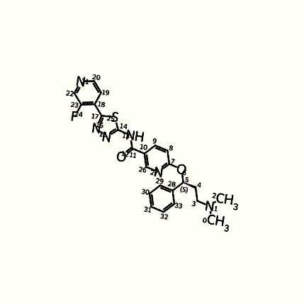 CN(C)CC[C@H](Oc1ccc(C(=O)Nc2nnc(-c3ccncc3F)s2)cn1)c1ccccc1